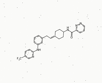 O=C(NC1CCC(=CCc2cccc(Nc3ccc(C(F)(F)F)cn3)c2)CC1)c1cccnn1